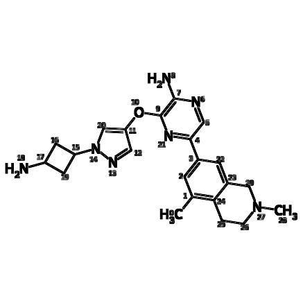 Cc1cc(-c2cnc(N)c(Oc3cnn(C4CC(N)C4)c3)n2)cc2c1CCN(C)C2